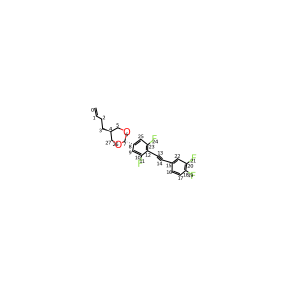 C=CCC[C@H]1CO[C@H](c2cc(F)c(C#Cc3ccc(F)c(F)c3)c(F)c2)OC1